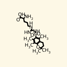 Cc1c(C)c(S(=O)(=O)NC(=N)NCCCC(N)C(=O)O)c(C)c2c1OC(C)(C)CC2